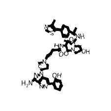 Cc1ncsc1-c1ccc(C(C)NC(=O)[C@@H]2C[C@@H](O)CN2C(=O)C(NC(=O)CCCN2CCC(n3nc(N)c4nnc(-c5ccccc5O)cc43)CC2)C(C)(C)C)cc1